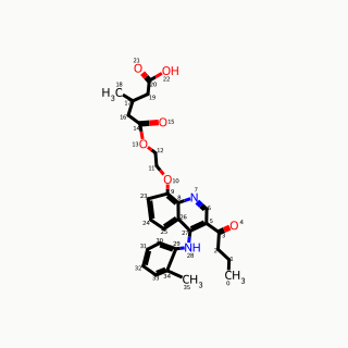 CCCC(=O)c1cnc2c(OCCOC(=O)CC(C)CC(=O)O)cccc2c1Nc1ccccc1C